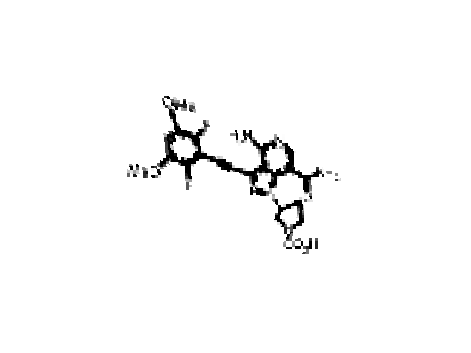 COc1cc(OC)c(F)c(C#Cc2nn([C@H]3CCN(C(=O)O)C3)c3c(C(N)=O)cnc(N)c23)c1F